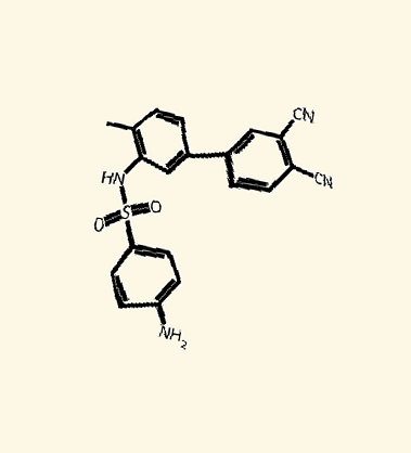 Cc1ccc(-c2ccc(C#N)c(C#N)c2)cc1NS(=O)(=O)c1ccc(N)cc1